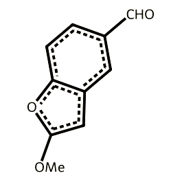 COc1cc2cc(C=O)ccc2o1